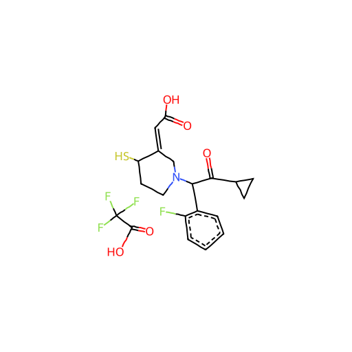 O=C(O)C(F)(F)F.O=C(O)C=C1CN(C(C(=O)C2CC2)c2ccccc2F)CCC1S